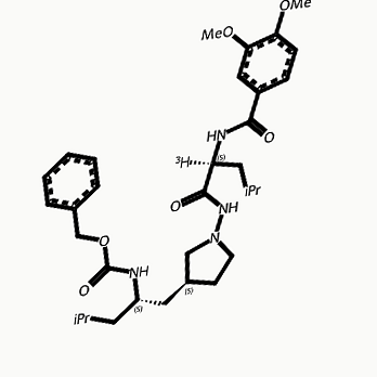 [3H][C@@](CC(C)C)(NC(=O)c1ccc(OC)c(OC)c1)C(=O)NN1CC[C@@H](C[C@H](CC(C)C)NC(=O)OCc2ccccc2)C1